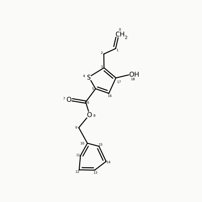 C=CCc1sc(C(=O)OCc2ccccc2)cc1O